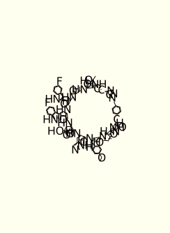 COc1ccc(C[C@@H]2NC(=O)[C@H](Cc3cnc[nH]3)NC(=O)[C@H](CC(=O)O)NC(=O)[C@H](Cc3c[nH]c4ccc(F)cc34)NC(=O)[C@H](Cc3c[nH]c4ccc(F)cc34)NC(=O)[C@H](C)NC(=O)[C@H](NC(C)=O)CCc3cn(nn3)-c3ccc(cc3)C[C@@H](C(N)=O)NC(=O)[C@]3(C)CCCN3C2=O)cc1